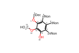 CCCCCCCCCCOc1c(CCCCCCCCC)c(CCCCCCCCC)c(CCCCCCCCC)c(O)c1OC(=O)O